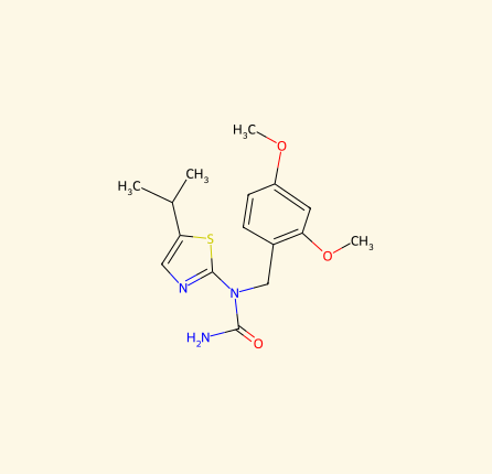 COc1ccc(CN(C(N)=O)c2ncc(C(C)C)s2)c(OC)c1